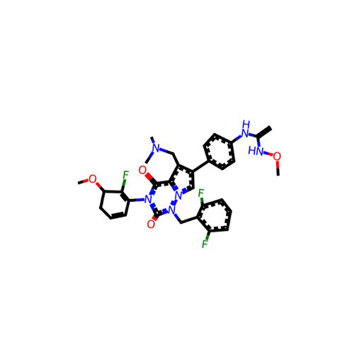 C=C(NOC)Nc1ccc(-c2cn3c(c2CN(C)C)c(=O)n(C2=C(F)C(OC)CC=C2)c(=O)n3Cc2c(F)cccc2F)cc1